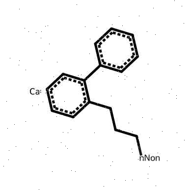 CCCCCCCCCCCCc1ccccc1-c1ccccc1.[Ca]